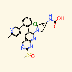 Cc1ccc(-c2cccc(Cl)c2-c2cc3cnc([S+](C)[O-])nc3nc2N2CC3C(C2)C3NC(=O)O)cn1